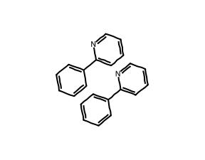 c1ccc(-c2ccccn2)cc1.c1ccc(-c2ccccn2)cc1